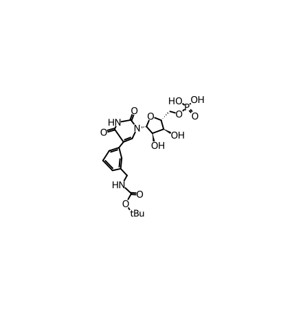 CC(C)(C)OC(=O)NCc1cccc(-c2cn([C@@H]3O[C@H](COP(=O)(O)O)[C@@H](O)[C@H]3O)c(=O)[nH]c2=O)c1